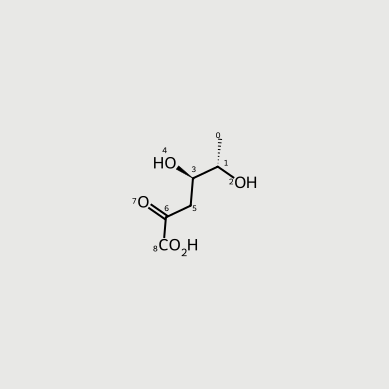 C[C@H](O)[C@H](O)CC(=O)C(=O)O